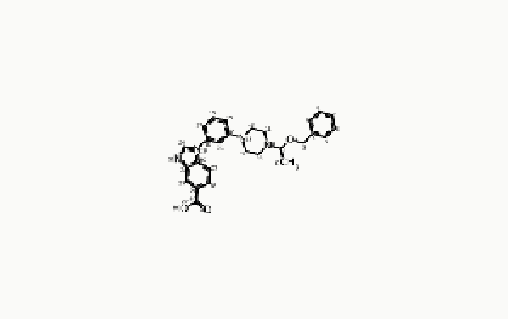 CC(OCc1ccccc1)N1CCN(c2cccc(-n3cnc4cc(C(=O)O)ccc43)c2)CC1